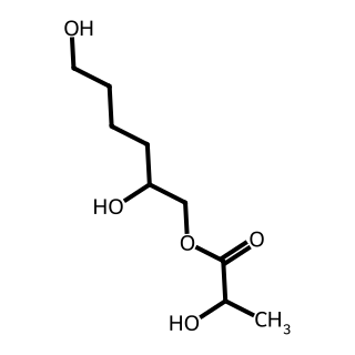 CC(O)C(=O)OCC(O)CCCCO